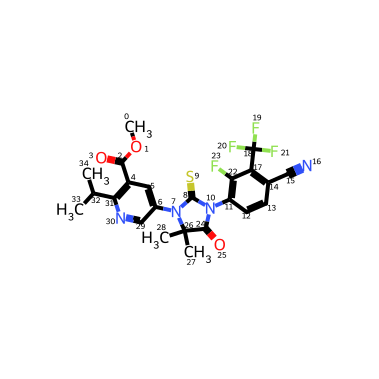 COC(=O)c1cc(N2C(=S)N(c3ccc(C#N)c(C(F)(F)F)c3F)C(=O)C2(C)C)cnc1C(C)C